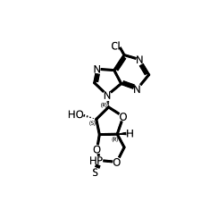 O[C@H]1C2O[PH](=S)OC[C@H]2O[C@H]1n1cnc2c(Cl)ncnc21